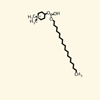 CCCCCCCCCCCCCCCCCCOP(O)OC1CC[N+](C)(C)CC1